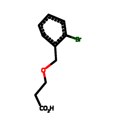 O=C(O)CCOCc1ccccc1Br